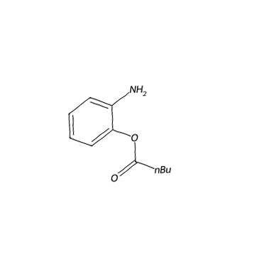 CCCCC(=O)Oc1ccccc1N